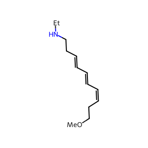 CCNCC/C=C/C=C/C=C\CCOC